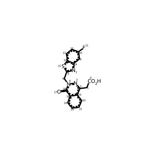 O=C(O)Cc1nn(Cc2nc3cc(F)ccc3s2)c(=O)c2ccccc12